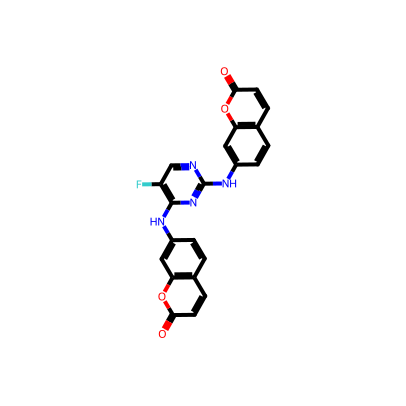 O=c1ccc2ccc(Nc3ncc(F)c(Nc4ccc5ccc(=O)oc5c4)n3)cc2o1